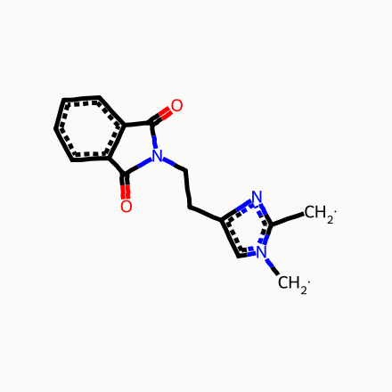 [CH2]c1nc(CCN2C(=O)c3ccccc3C2=O)cn1[CH2]